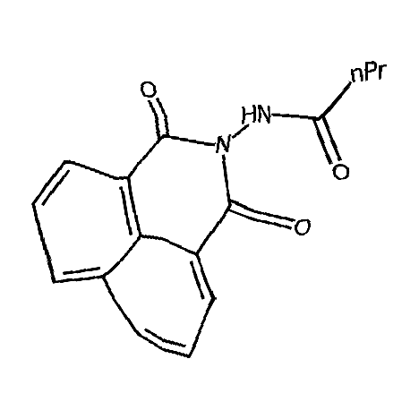 CCCC(=O)NN1C(=O)c2cccc3cccc(c23)C1=O